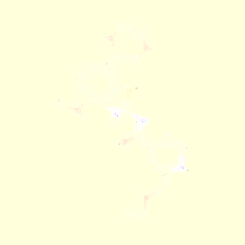 CCOCc1cc(C(=O)Nc2nc3c(OC)ccc(C4COCCO4)c3s2)ccn1